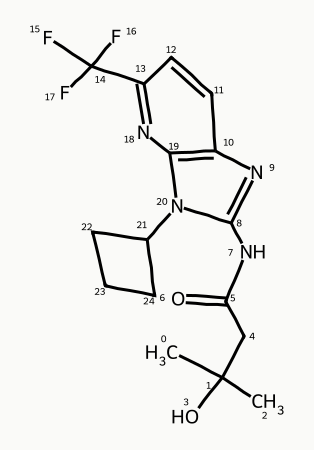 CC(C)(O)CC(=O)Nc1nc2ccc(C(F)(F)F)nc2n1C1CCC1